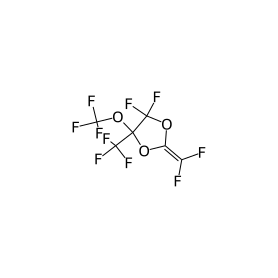 FC(F)=C1OC(F)(F)C(OC(F)(F)F)(C(F)(F)F)O1